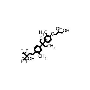 CCC(CC)(c1ccc(CCC(O)(C(F)(F)F)C(F)(F)F)c(C)c1)c1ccc(OC[C@@H](O)CO)c(C)c1